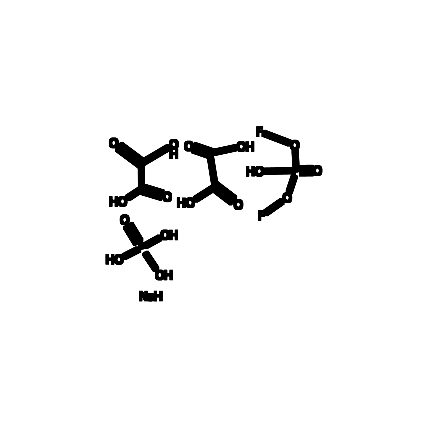 O=C(O)C(=O)O.O=C(O)C(=O)O.O=P(O)(O)O.O=P(O)(OF)OF.[NaH]